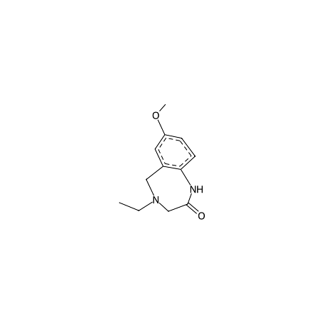 CCN1CC(=O)Nc2ccc(OC)cc2C1